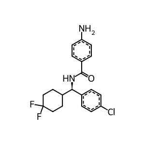 Nc1ccc(C(=O)N[C@@H](c2ccc(Cl)cc2)C2CCC(F)(F)CC2)cc1